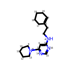 C1=C(CCNc2cc(N3CCCCC3)ncn2)CCCC1